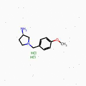 COc1ccc(CN2CC[C@@H](N)C2)cc1.Cl.Cl